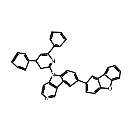 C1=C(c2ccccc2)N=C(n2c3ccncc3c3cc(-c4ccc5oc6ccccc6c5c4)ccc32)CC1c1ccccc1